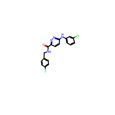 O=C(NCc1ccc(F)cc1)c1ccc(Nc2cccc(Cl)c2)nn1